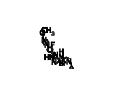 COCCN1CCN(c2ccc(-c3nc4c(NC5CCN(CC6CC6)CC5)c(Br)cnc4[nH]3)cc2F)CC1